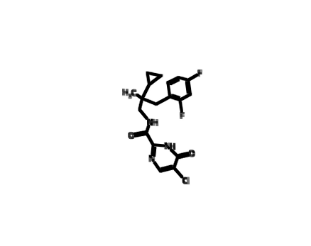 CC(CNC(=O)c1ncc(Cl)c(=O)[nH]1)(Cc1ccc(F)cc1F)C1CC1